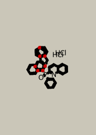 Cl.Cl.O=P(c1ccccc1)(c1ccccc1)c1nc2ccccc2c[c]1[Zr]([CH2]c1ccccc1)([CH2]c1ccccc1)[CH2]c1ccccc1